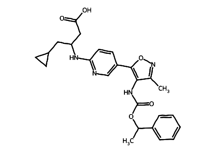 Cc1noc(-c2ccc(NC(CC(=O)O)CC3CC3)nc2)c1NC(=O)OC(C)c1ccccc1